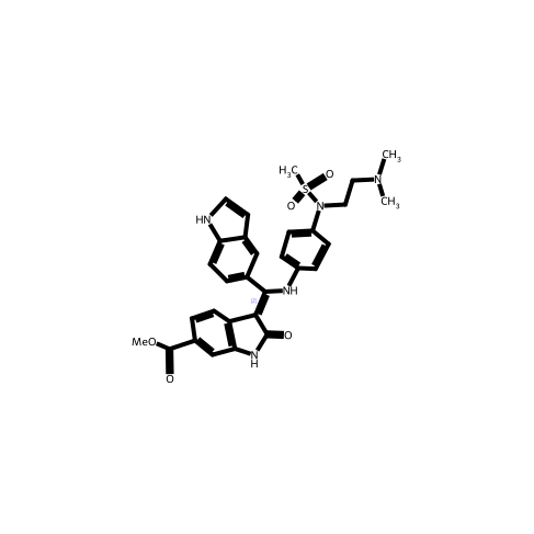 COC(=O)c1ccc2c(c1)NC(=O)/C2=C(\Nc1ccc(N(CCN(C)C)S(C)(=O)=O)cc1)c1ccc2[nH]ccc2c1